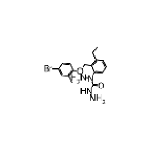 CCc1cccc(N(N)C(=O)NN)c1COc1ccc(Br)cc1C